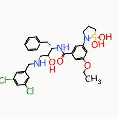 CCOc1cc(C(=O)N[C@@H](Cc2ccccc2)[C@H](O)CNCc2cc(Cl)cc(Cl)c2)cc(N2CCCS2(O)O)c1